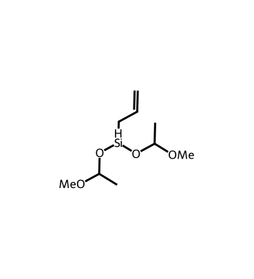 C=CC[SiH](OC(C)OC)OC(C)OC